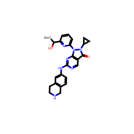 COC(O)c1cccc(-n2c3nc(Nc4ccc5c(c4)CCNC5)ncc3c(=O)n2C2CC2)n1